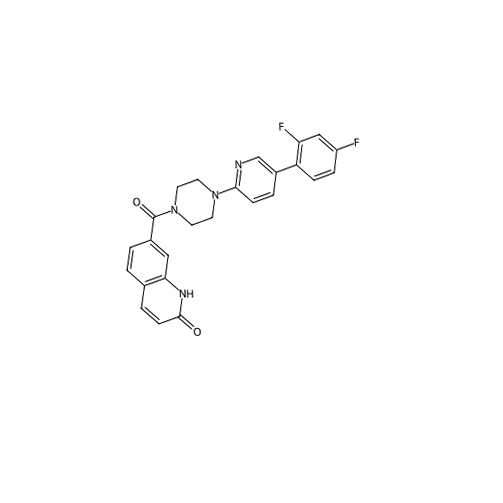 O=C(c1ccc2ccc(=O)[nH]c2c1)N1CCN(c2ccc(-c3ccc(F)cc3F)cn2)CC1